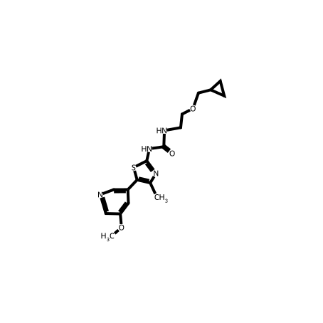 COc1cncc(-c2sc(NC(=O)NCCOCC3CC3)nc2C)c1